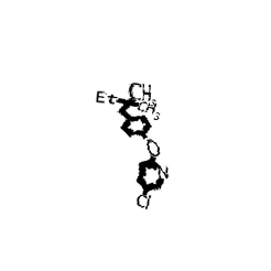 CCC(C)(C)Cc1ccc(Oc2ccc(Cl)cn2)cc1